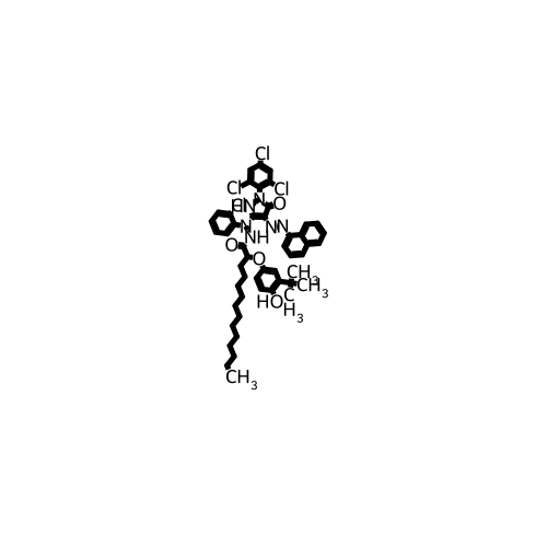 CCCCCCCCCCCCC(Oc1ccc(O)c(C(C)(C)C)c1)C(=O)NN(c1ccccc1Cl)c1[nH]n(-c2c(Cl)cc(Cl)cc2Cl)c(=O)c1N=Nc1cccc2ccccc12